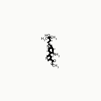 COC(=O)c1cncc(-c2cc3nn(CCC(C)(C)O)cc3cc2N)c1